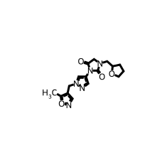 Cc1oncc1Cn1cc(N2C(=O)CN(CC3CCCO3)C2=O)cn1